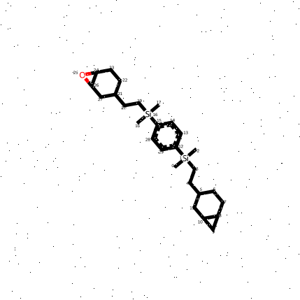 C[Si](C)(CCC1CCC2CC2C1)c1ccc([Si](C)(C)CCC2CCC3OC3C2)cc1